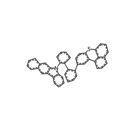 c1ccc(-c2ccccc2-n2c3ccccc3c3cc4ccccc4cc32)c(-c2ccc3c(c2)-c2cccc4cccc(c24)S3)c1